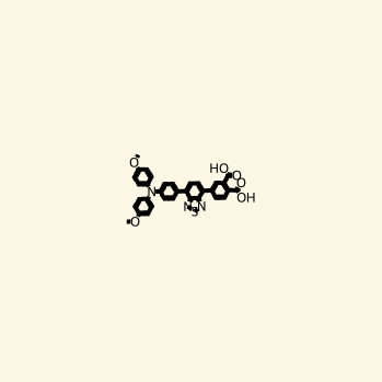 COc1ccc(N(c2ccc(OC)cc2)c2ccc(-c3ccc(-c4ccc(C(=O)O)c(C(=O)O)c4)c4nsnc34)cc2)cc1